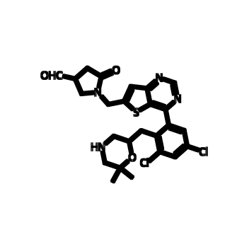 CC1(C)CNCC(Cc2c(Cl)cc(Cl)cc2-c2ncnc3cc(CN4CC(C=O)CC4=O)sc23)O1